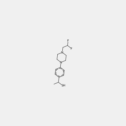 CC(S)c1ccc(N2CCN(CC(F)F)CC2)cc1